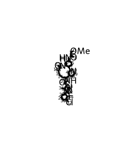 COCC(=O)Nc1ccc2c(c1)NC(=O)[C@H](C)CCC[C@H](NC(=O)c1nnn(-c3cccc(Cl)c3F)c1C)c1ccnc-2c1